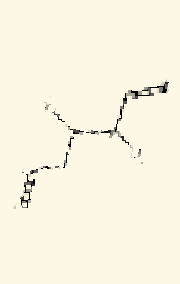 C=CCC(Br)C(Br)C=C